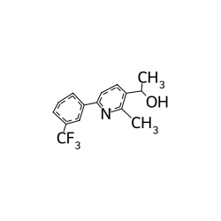 Cc1nc(-c2cccc(C(F)(F)F)c2)ccc1C(C)O